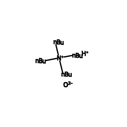 CCCC[N+](CCCC)(CCCC)CCCC.[H+].[O-2]